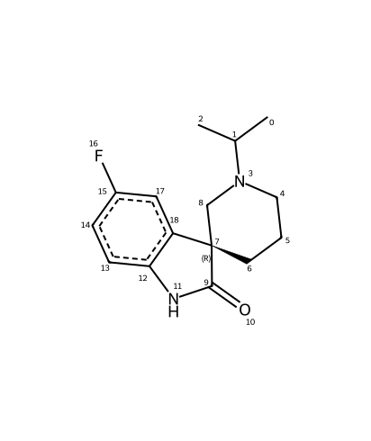 CC(C)N1CCC[C@@]2(C1)C(=O)Nc1ccc(F)cc12